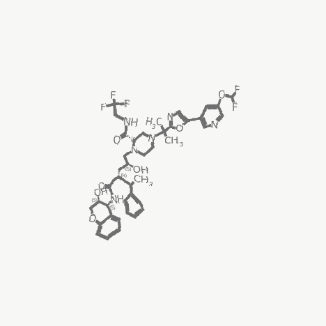 CC(c1ccccc1)[C@@H](C[C@H](O)CN1CCN(C(C)(C)c2ncc(-c3cncc(OC(F)F)c3)o2)C[C@H]1C(=O)NCC(F)(F)F)C(=O)N[C@H]1c2ccccc2OC[C@H]1O